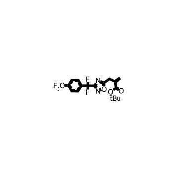 C=C(Cc1nc(C(F)(F)c2ccc(C(F)(F)F)cc2)no1)C(=O)OC(C)(C)C